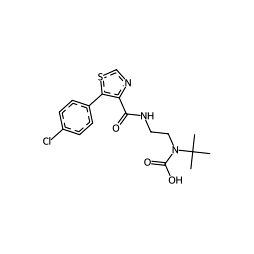 CC(C)(C)N(CCNC(=O)c1ncsc1-c1ccc(Cl)cc1)C(=O)O